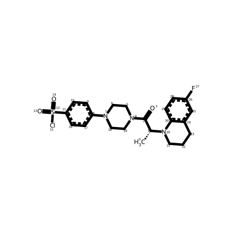 C[C@H](C(=O)N1CCN(c2ccc(S(=O)(=O)Cl)cc2)CC1)N1CCCc2cc(F)ccc21